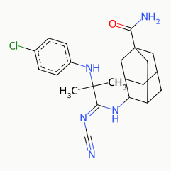 CC(C)(Nc1ccc(Cl)cc1)/C(=N/C#N)NC1C2CC3CC1CC(C(N)=O)(C3)C2